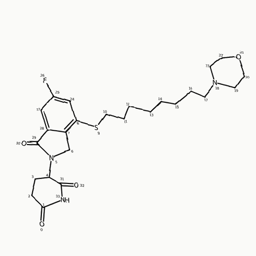 O=C1CCC(N2Cc3c(SCCCCCCCCN4CCOCC4)cc(F)cc3C2=O)C(=O)N1